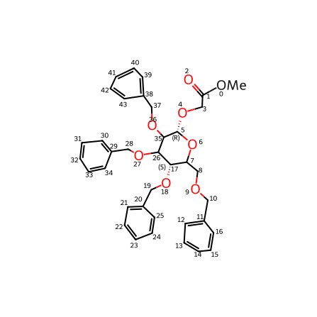 COC(=O)CO[C@@H]1OC(COCc2ccccc2)[C@H](OCc2ccccc2)C(OCc2ccccc2)C1OCc1ccccc1